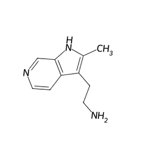 Cc1[nH]c2cnccc2c1CCN